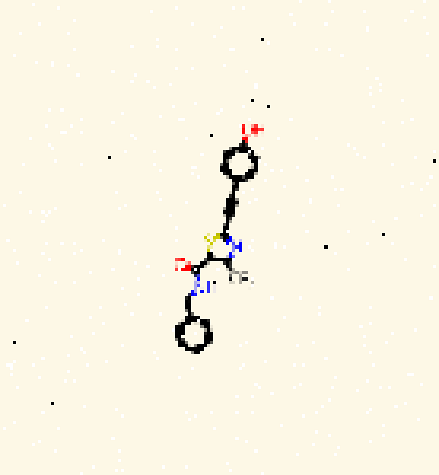 O=C(NCc1ccccc1)C1SC(C#Cc2ccc(O)cc2)=NC1C(F)(F)F